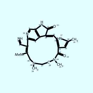 CN/C1=C(\C=N)c2cc3c(cn2)NC(=O)/C3=C\c2[nH]c(C)cc2C(=O)N(C)CCN(C)C1